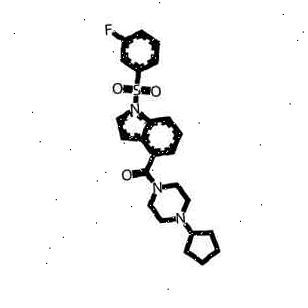 O=C(c1cccc2c1ccn2S(=O)(=O)c1cccc(F)c1)N1CCN(C2CCCC2)CC1